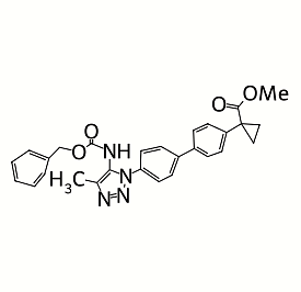 COC(=O)C1(c2ccc(-c3ccc(-n4nnc(C)c4NC(=O)OCc4ccccc4)cc3)cc2)CC1